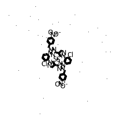 O=[N+]([O-])c1ccc(Cn2nnc(-c3cnn(-c4ccccc4Cl)c3SSc3c(-c4nnn(Cc5ccc([N+](=O)[O-])cc5)n4)cnn3-c3ccccc3Cl)n2)cc1